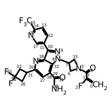 C=C(F)C(=O)N1CC(n2nc(-c3ccc(C(F)(F)F)nc3)c3nc(C4CC(F)(F)C4)cc(C(N)=O)c32)C1